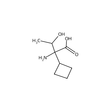 CC(O)C(N)(C(=O)O)C1CCC1